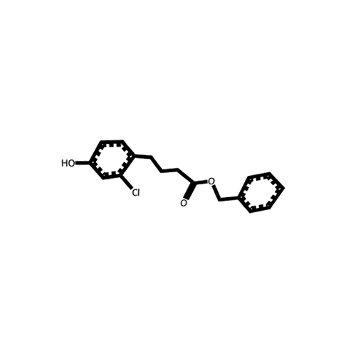 O=C(CCCc1ccc(O)cc1Cl)OCc1ccccc1